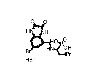 Br.CC(C)CC(NCc1cc(Br)cc2[nH]c(=O)c(=O)[nH]c12)P(=O)(O)O